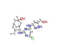 CCC1CC2CC(CC(C)(O)C2)C1Nc1nc(Cl)cc(Nc2cc(CO)[nH]n2)n1